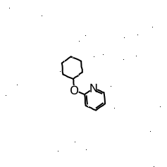 c1ccc(OC2CCCCC2)nc1